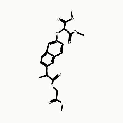 COC(=O)COC(=O)C(C)c1ccc2cc(OC(C(=O)OC)C(=O)OC)ccc2c1